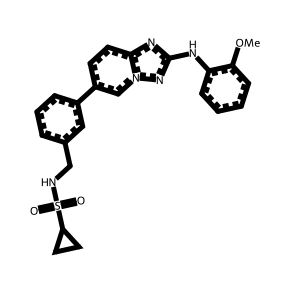 COc1ccccc1Nc1nc2ccc(-c3cccc(CNS(=O)(=O)C4CC4)c3)cn2n1